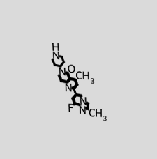 Cc1cn2cc(-c3cc(C)c4c(=O)n(C5CCNCC5)ccc4n3)cc(F)c2n1